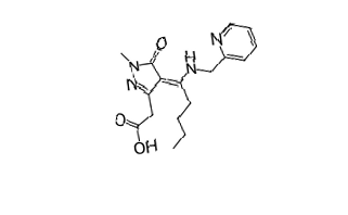 CCCC/C(NCc1ccccn1)=C1/C(=O)N(C)N=C1CC(=O)O